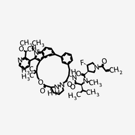 C=CC(=O)N1C[C@@H](F)[C@H](C(=O)N(C)[C@H](C(=O)N[C@H]2Cc3cccc(c3)-c3ccc4c(c3)c(c(-c3cccnc3[C@H](C)OC)n4CC)CC(C)(C)COC(=O)[C@@H]3CCCN(N3)C2=O)C(C)C)C1